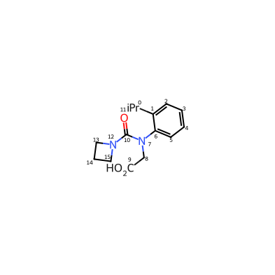 CC(C)c1ccccc1N(CC(=O)O)C(=O)N1CCC1